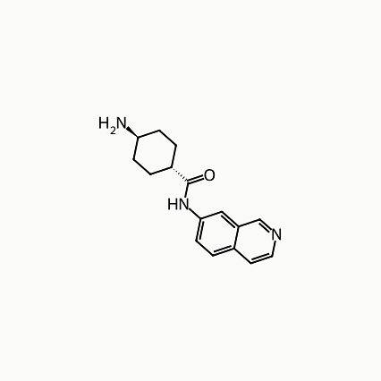 N[C@H]1CC[C@H](C(=O)Nc2ccc3ccncc3c2)CC1